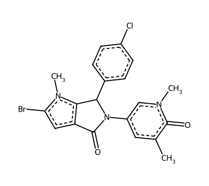 Cc1cc(N2C(=O)c3cc(Br)n(C)c3C2c2ccc(Cl)cc2)cn(C)c1=O